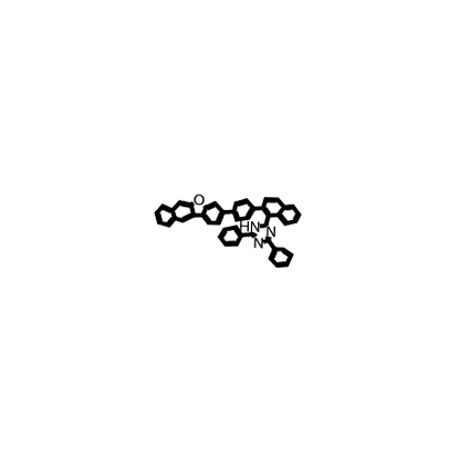 c1ccc(C2=NC(c3c(-c4ccc(-c5ccc6c(c5)oc5cc7ccccc7cc56)cc4)ccc4ccccc34)NC(c3ccccc3)=N2)cc1